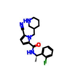 C[C@H](NC(=O)c1ccc(C#N)n1CC1CCCNC1)c1ccccc1F